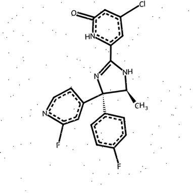 C[C@@H]1NC(c2cc(Cl)cc(=O)[nH]2)=N[C@]1(c1ccc(F)cc1)c1ccnc(F)c1